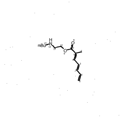 C=CC=CC=C(C)C(=O)OCCNCCCC